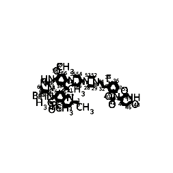 CCc1ccc2c(P(C)(C)=O)c(Nc3nc(Nc4cc(CC)c(N5CCC(N6CCN(CCc7c(F)ccc8c7oc(=O)n8C7CCC(=O)NC7=O)CC6)CC5)cc4OC)ncc3Br)ccc2n1